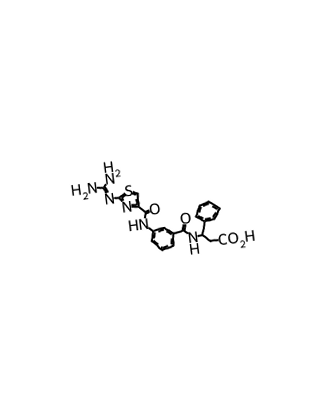 NC(N)=Nc1nc(C(=O)Nc2cccc(C(=O)NC(CC(=O)O)c3ccccc3)c2)cs1